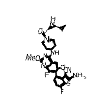 COc1nc(NC2CCN(C(=O)[C@@H]3N[C@H]3C3CC3)CC2)c2cc(Cl)c(-c3ccc(F)c4sc(N)c(C#N)c34)c(F)c2n1